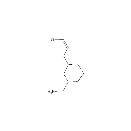 CC/C=C\CC1CCCC(CN)C1